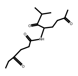 CCC(=O)CCC(=O)NC(CCC(C)=O)C(=O)C(C)C